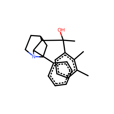 Cc1cccc(C(C)(O)C2C3CCN(CC3)C2c2ccccc2)c1C